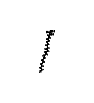 S=C(S)NCCCCCCCCCCCCCCCCCCCCI